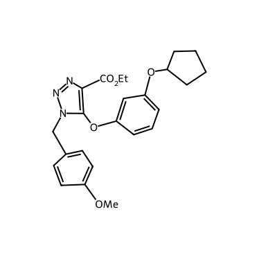 CCOC(=O)c1nnn(Cc2ccc(OC)cc2)c1Oc1cccc(OC2CCCC2)c1